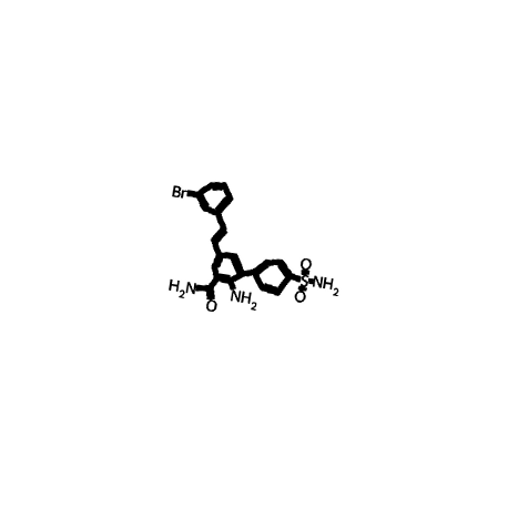 NC(=O)c1cc(/C=C/c2cccc(Br)c2)cc(-c2ccc(S(N)(=O)=O)cc2)c1N